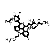 C=CC(=O)N1CCn2nc(-c3nc(-c4cc(F)c(=O)n(CC(F)F)c4)c4ccsc4c3-c3c(F)cc(F)cc3OCCOC)cc2[C@H]1C